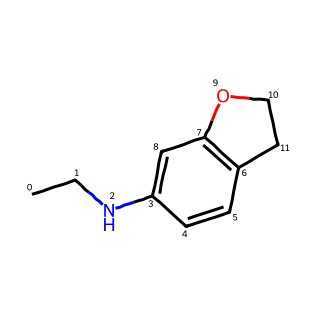 CCNc1ccc2c(c1)OCC2